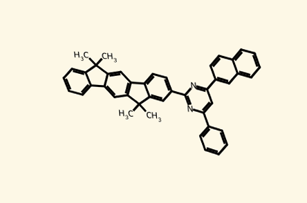 CC1(C)c2ccccc2-c2cc3c(cc21)-c1ccc(-c2nc(-c4ccccc4)cc(-c4ccc5ccccc5c4)n2)cc1C3(C)C